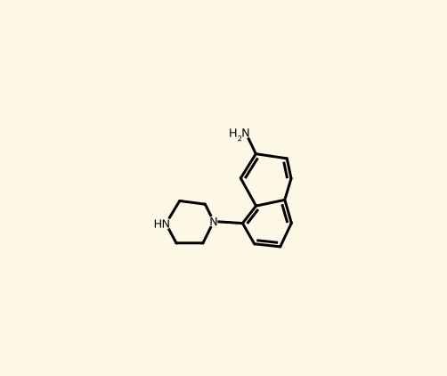 Nc1ccc2cccc(N3CCNCC3)c2c1